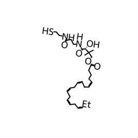 CC/C=C\C/C=C\C/C=C\C/C=C\C/C=C\CCCC(=O)OCC(C)(C)[C@@H](O)C(=O)NCCC(=O)NCCS